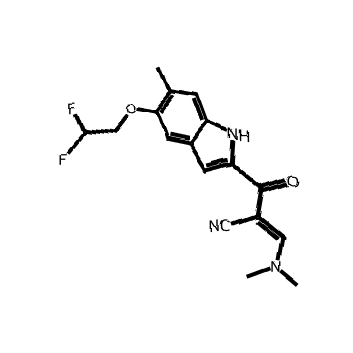 Cc1cc2[nH]c(C(=O)/C(C#N)=C/N(C)C)cc2cc1OCC(F)F